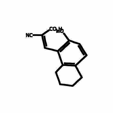 N#C/C(=C/c1c(O)ccc2c1CCCC2)C(=O)O